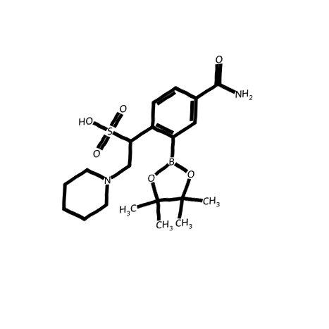 CC1(C)OB(c2cc(C(N)=O)ccc2C(CN2CCCCC2)S(=O)(=O)O)OC1(C)C